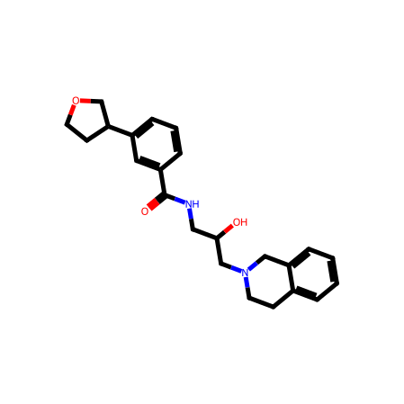 O=C(NCC(O)CN1CCc2ccccc2C1)c1cccc(C2CCOC2)c1